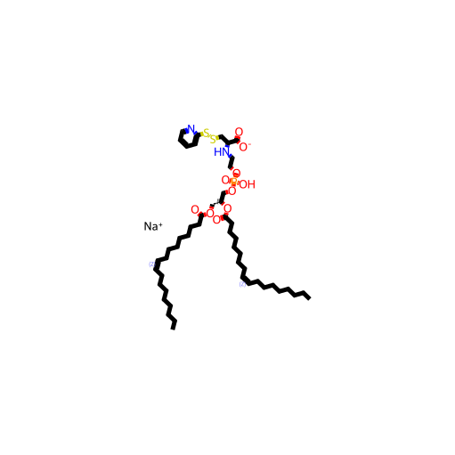 CCCCCCCC/C=C\CCCCCCCC(=O)OC[C@H](COP(=O)(O)OCCNC(CSSc1ccccn1)C(=O)[O-])OC(=O)CCCCCCC/C=C\CCCCCCCC.[Na+]